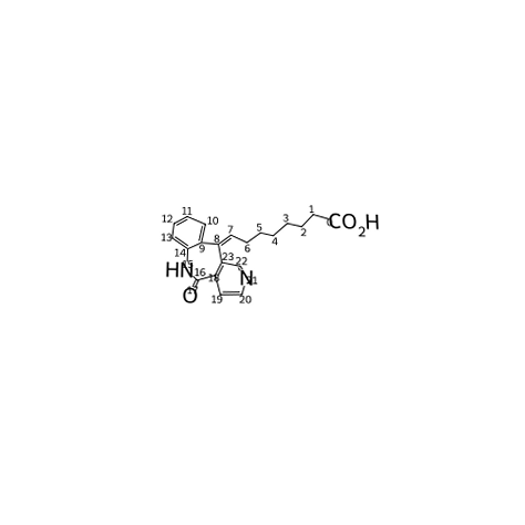 O=C(O)CCCCCCC=C1c2ccccc2NC(=O)c2ccncc21